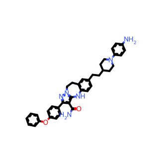 NC(=O)c1c(-c2ccc(Oc3ccccc3)cc2)nn2c1Nc1ccc(CCC3CCN(c4ccc(N)cc4)CC3)cc1CC2